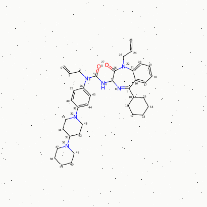 C=CCN(C(=O)NC1N=C(C2CCCCC2)c2ccccc2N(CC=C)C1=O)c1ccc(N2CCC(N3CCCCC3)CC2)cc1